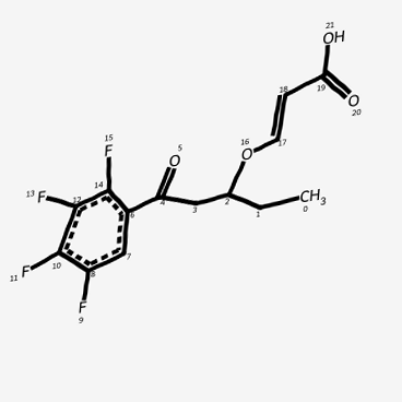 CCC(CC(=O)c1cc(F)c(F)c(F)c1F)OC=CC(=O)O